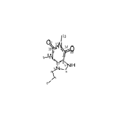 CCCN1CNc2c1n(C)c(=O)n(C)c2=O